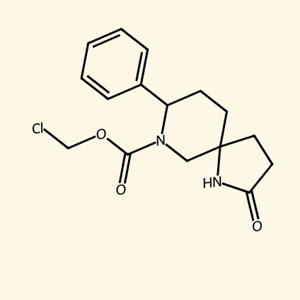 O=C1CCC2(CCC(c3ccccc3)N(C(=O)OCCl)C2)N1